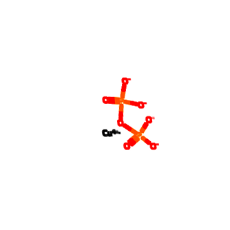 O=P([O-])([O-])OP(=O)([O-])[O-].[Cu+4]